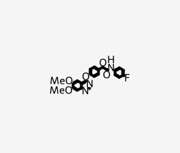 COc1cc2ncnc(Oc3ccc(C(=O)C(=O)Nc4ccc(F)cc4)cc3)c2cc1OC